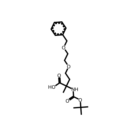 CC(C)(C)OC(=O)NC(C)(CCOCCOCc1ccccc1)C(=O)O